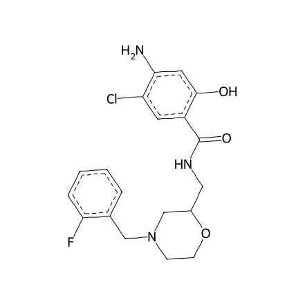 Nc1cc(O)c(C(=O)NCC2CN(Cc3ccccc3F)CCO2)cc1Cl